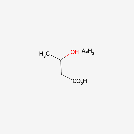 CC(O)CC(=O)O.[AsH3]